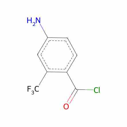 Nc1ccc(C(=O)Cl)c(C(F)(F)F)c1